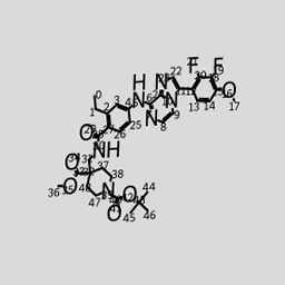 CCc1cc(Nc2nccn3c(-c4ccc(OC)c(F)c4F)cnc23)ccc1C(=O)NCC1(C(=O)OC)CCN(C(=O)OC(C)(C)C)CC1